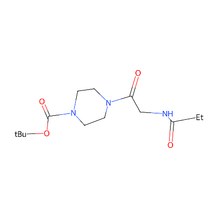 CCC(=O)NCC(=O)N1CCN(C(=O)OC(C)(C)C)CC1